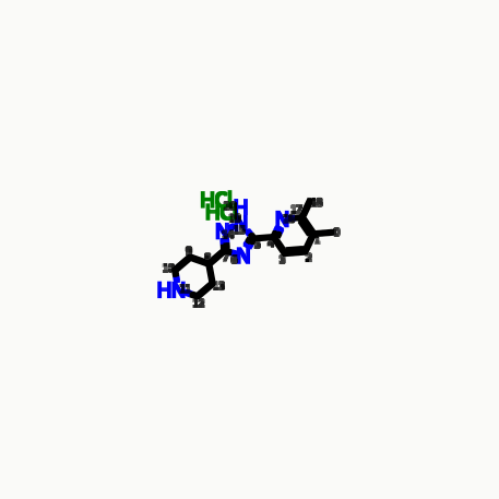 Cc1ccc(-c2nc(C3CCNCC3)n[nH]2)nc1C.Cl.Cl